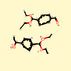 CCOC(OCC)c1ccc(C(C)O)cc1.CCOC(OCC)c1ccc(C=O)cc1